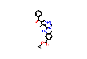 Cc1ccc(C(=O)OC2CC2)cc1Nc1ncnn2cc(C(=O)c3ccccc3)c(C)c12